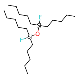 CCCCC[Si](F)(CCCCC)O[Si](F)(CCCCC)CCCCC